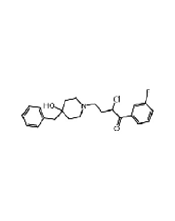 O=C(c1cccc(F)c1)C(Cl)CCN1CCC(O)(Cc2ccccc2)CC1